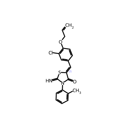 C=CCOc1ccc(/C=C2\SC(=N)N(c3ccccc3C)C2=O)cc1Cl